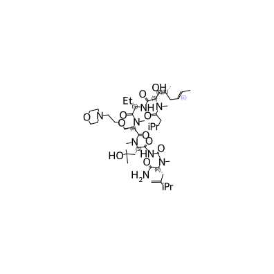 C=C(C[C@H](C(N)=O)N(C)C(=O)NC(=O)[C@H](CC(C)(C)O)N(C)C(=O)[C@@H](COCCN1CCOCC1)N(C)C(=O)[C@H](CC)NC(=O)[C@H]([C@H](O)[C@H](C)C/C=C/C)N(C)C(=O)CC(C)C)C(C)C